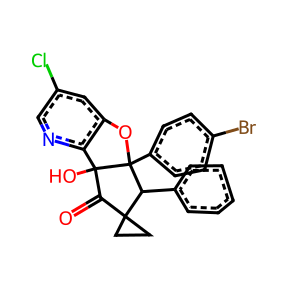 O=C1C2(CC2)C(c2ccccc2)C2(c3ccc(Br)cc3)Oc3cc(Cl)cnc3C12O